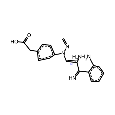 C=NN(/C=C(\N)C(=N)c1ccccc1N)c1ccc(CC(=O)O)cc1